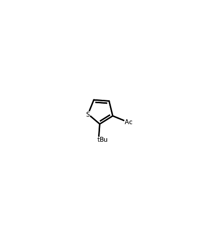 CC(=O)c1ccsc1C(C)(C)C